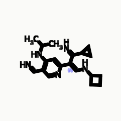 CC(C)Nc1cc(/C(=C/NC2CCC2)C(=N)C2CC2)ncc1C=N